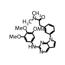 COc1cc(Nc2ncc3ccn(-c4cccc(CC(=O)N(C)C)c4)c3n2)cc(OC)c1OC